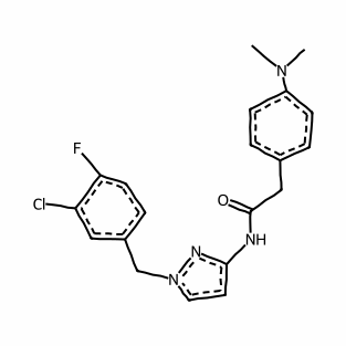 CN(C)c1ccc(CC(=O)Nc2ccn(Cc3ccc(F)c(Cl)c3)n2)cc1